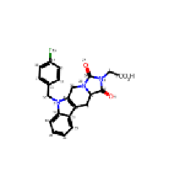 O=C(O)CN1C(=O)C2Cc3c(n(Cc4ccc(F)cc4)c4ccccc34)CN2C1=O